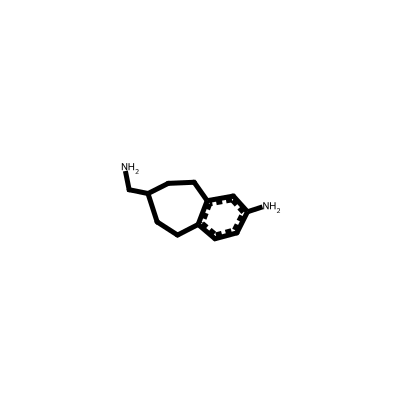 NCC1CCc2ccc(N)cc2CC1